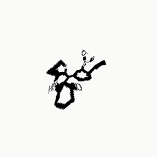 C#Cc1ccc(C2C3=C(CCS3)NC3=C2C(=O)CCC3)cc1[N+](=O)[O-]